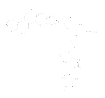 COc1cc2nn([C@H]3CC[C@H](CN(C)C4CCN(c5cccc6c5n(C)c(=O)n6C5CCC(=O)NC5=O)CC4)CC3)cc2cc1NC(=O)c1ncccc1Cl